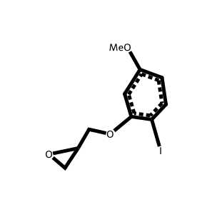 COc1ccc(I)c(OCC2CO2)c1